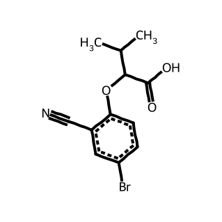 CC(C)C(Oc1ccc(Br)cc1C#N)C(=O)O